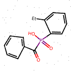 CCc1ccccc1P(=O)(O)C(=O)c1ccccc1